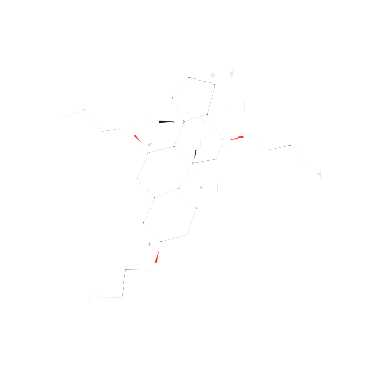 CC(C)[C@H]1CC[C@H]2C3[C@H](OCCO)CC4C[C@H](OCCO)CC[C@]4(C)[C@H]3C[C@H](OCCO)[C@]12C